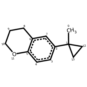 CC1(c2ccc3c(c2)CCCO3)CC1